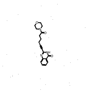 O=C(CCCC#Cc1nc2ccccc2c(=O)[nH]1)N1CCOCC1